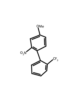 COc1ccc(-c2ccccc2C(F)(F)F)c([N+](=O)[O-])c1